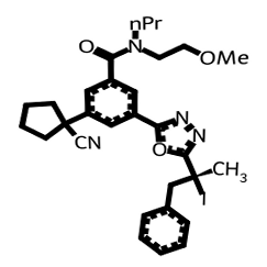 CCCN(CCOC)C(=O)c1cc(-c2nnc([C@](C)(I)Cc3ccccc3)o2)cc(C2(C#N)CCCC2)c1